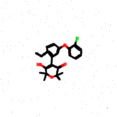 CCc1ccc(Oc2ccccc2Cl)cc1C1=C(O)C(C)(C)OC(C)(C)C1=O